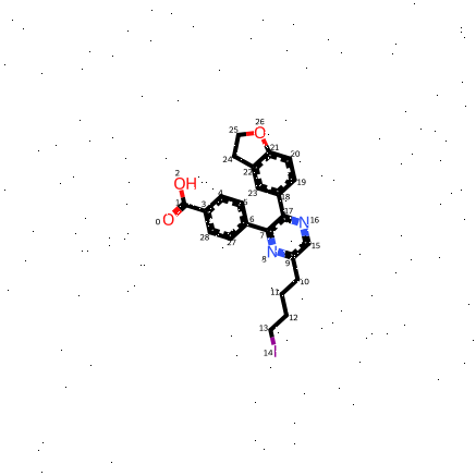 O=C(O)c1ccc(-c2nc(CCCCI)cnc2-c2ccc3c(c2)CCO3)cc1